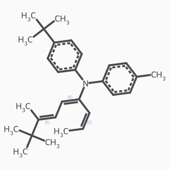 C\C=C/C(=C\C=C(/C)C(C)(C)C)N(c1ccc(C)cc1)c1ccc(C(C)(C)C)cc1